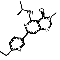 CCc1ccc(-c2cc3ncn(C)c(=O)c3c(NC(C)C)n2)cn1